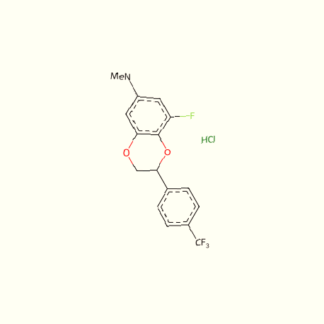 CNc1cc(F)c2c(c1)OCC(c1ccc(C(F)(F)F)cc1)O2.Cl